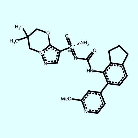 COc1cc(-c2ccc3c(c2NC(=O)N=[S@](N)(=O)c2cnn4c2OCC(C)(C)C4)CCC3)ccn1